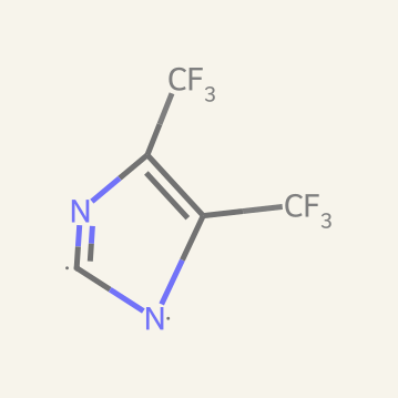 FC(F)(F)C1=C(C(F)(F)F)N=[C][N]1